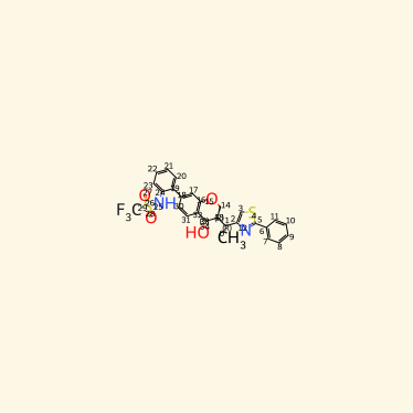 C[C@@H](c1csc(-c2ccccc2)n1)[C@@H]1COc2cc(-c3ccccc3NS(=O)(=O)C(F)(F)F)ccc2[C@H]1O